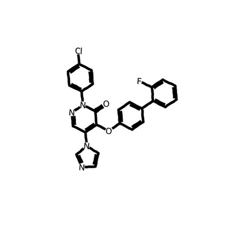 O=c1c(Oc2ccc(-c3ccccc3F)cc2)c(-n2ccnc2)cnn1-c1ccc(Cl)cc1